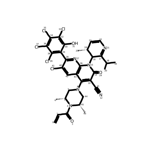 C=CC(=O)N1[C@H](C)CN(c2c(C#N)c(=O)n(C3C(C(C)C)=NC=C[C@H]3C)c3nc(-c4c(O)c(Cl)c(Cl)c(Cl)c4Cl)c(Cl)cc23)C[C@@H]1C